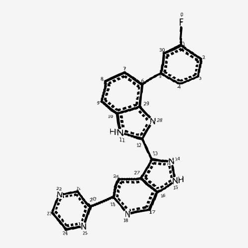 Fc1cccc(-c2cccc3[nH]c(-c4n[nH]c5cnc(-c6cnccn6)cc45)nc23)c1